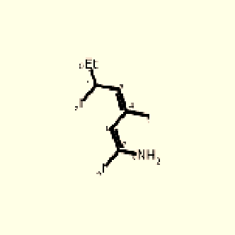 CCC(I)/C=C(C)\C=C(/N)I